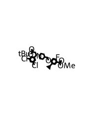 COC(=O)c1cc(C2CC2)c(OCC2CCN(C(CC(=O)OC(C)(C)C)c3cc(Cl)cc(Cl)c3)CC2)cc1F